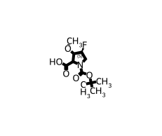 COC1C(C(=O)O)N(C(=O)OC(C)(C)C)C[C@@H]1F